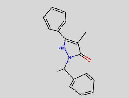 Cc1c(-c2ccccc2)[nH]n(C(C)c2ccccc2)c1=O